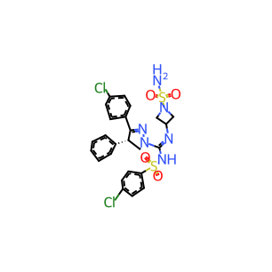 NS(=O)(=O)N1CC(/N=C(/NS(=O)(=O)c2ccc(Cl)cc2)N2C[C@H](c3ccccc3)C(c3ccc(Cl)cc3)=N2)C1